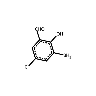 Bc1cc(Cl)cc(C=O)c1O